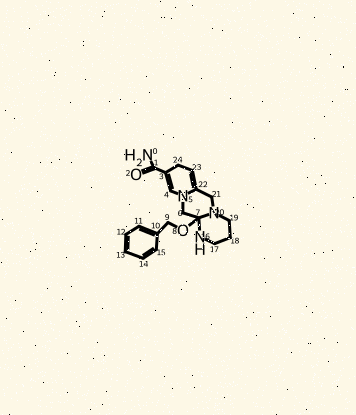 NC(=O)C1=CN2CC3(OCc4ccccc4)NCCCN3CC2=CC1